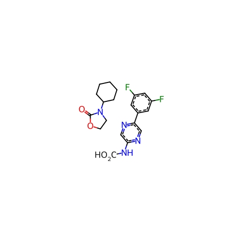 O=C(O)Nc1cnc(-c2cc(F)cc(F)c2)cn1.O=C1OCCN1C1CCCCC1